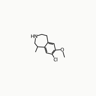 COc1cc2c(cc1Cl)C(C)CNCC2